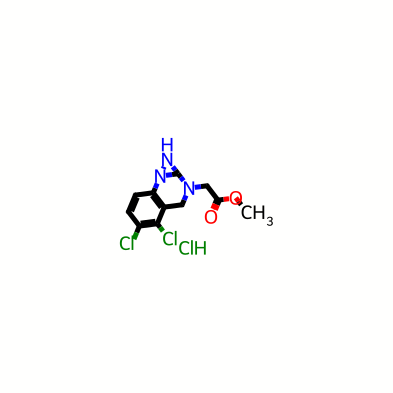 COC(=O)CN1Cc2c(ccc(Cl)c2Cl)N2NC12.Cl